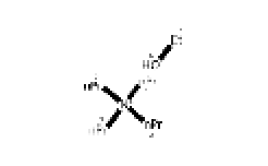 CCC[N+](CCC)(CCC)CCC.CCO